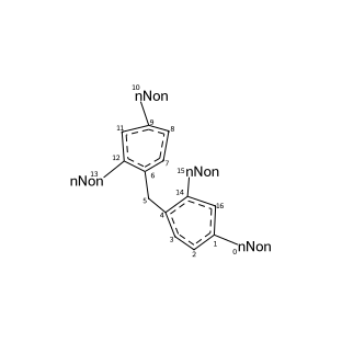 CCCCCCCCCc1ccc(Cc2ccc(CCCCCCCCC)cc2CCCCCCCCC)c(CCCCCCCCC)c1